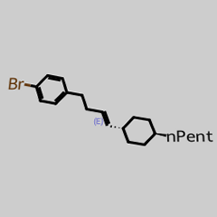 CCCCC[C@H]1CC[C@H](/C=C/CCc2ccc(Br)cc2)CC1